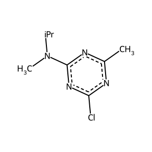 Cc1nc(Cl)nc(N(C)C(C)C)n1